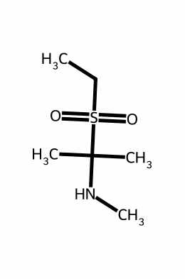 CCS(=O)(=O)C(C)(C)NC